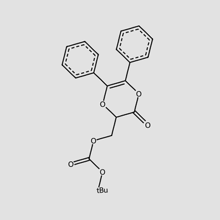 CC(C)(C)OC(=O)OCC1OC(c2ccccc2)=C(c2ccccc2)OC1=O